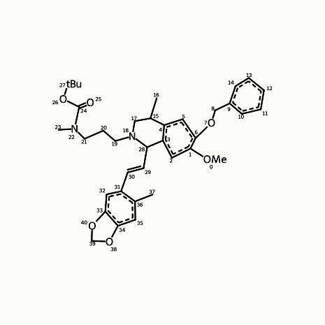 COc1cc2c(cc1OCc1ccccc1)C(C)CN(CCCN(C)C(=O)OC(C)(C)C)C2/C=C/c1cc2c(cc1C)OCO2